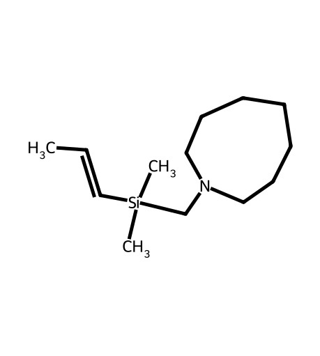 CC=C[Si](C)(C)CN1CCCCCCC1